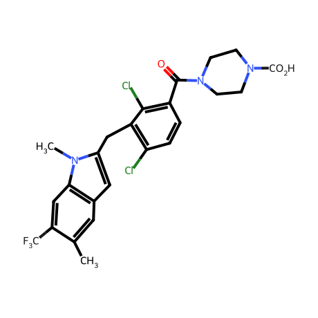 Cc1cc2cc(Cc3c(Cl)ccc(C(=O)N4CCN(C(=O)O)CC4)c3Cl)n(C)c2cc1C(F)(F)F